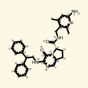 Cc1cc(N)nc(C)c1CNC(=O)[C@@H]1CCc2cnc(NCC(c3ccccc3)c3ccccc3)c(=O)n21